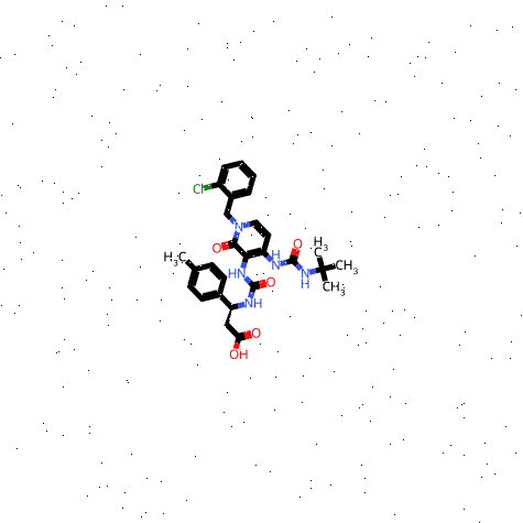 Cc1ccc([C@H](CC(=O)O)NC(=O)Nc2c(NC(=O)NC(C)(C)C)ccn(Cc3ccccc3Cl)c2=O)cc1